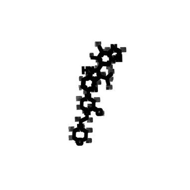 Cc1c(-c2[nH]c3ccc(N4CCN(CCN5CCOCC5)C(=O)C4)nc3c2C(C)C)cn2ncnc2c1C